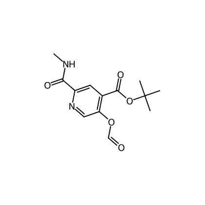 CNC(=O)c1cc(C(=O)OC(C)(C)C)c(OC=O)cn1